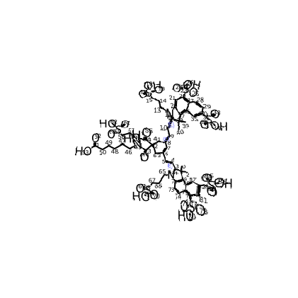 CC1(C)C(/C=C/C2=CC(=C/C=C3/N(CCCS(=O)(=O)O)c4cc(S(=O)(=O)O)c5ccc(S(=O)(=O)O)cc5c4C3(C)C)/CC(C(=O)NCCCCCC(=O)O)(C(=O)NCCS(=O)(=O)O)C2)=[N+](CCCS(=O)(=O)O)c2ccc3c(S(=O)(=O)O)cc(S(=O)(=O)O)cc3c21